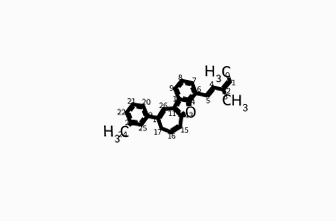 C/C=C(C)\C=C\c1cccc2c3c(oc12)C=CCC(c1cccc(C)c1)=C3